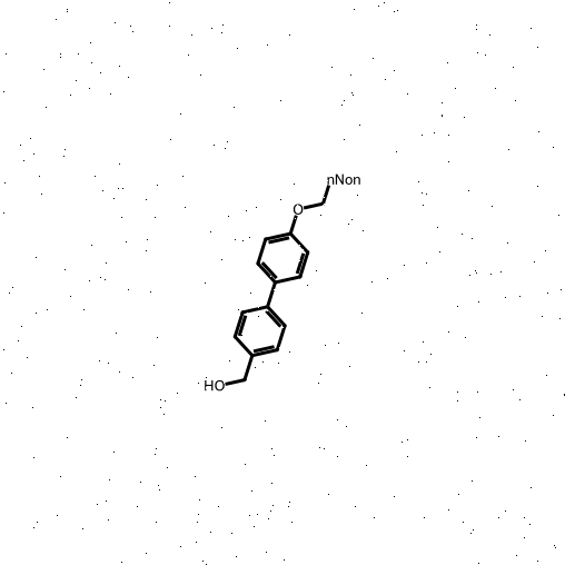 CCCCCCCCCCOc1ccc(-c2ccc(CO)cc2)cc1